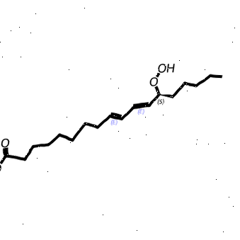 CCCCC[C@@H](/C=C/C=C/CCCCCCCC(=O)O)OO